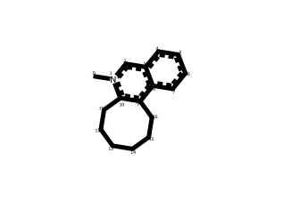 C[n+]1cc2ccccc2c2c1CCCCCC2